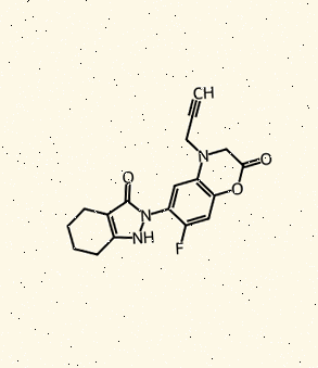 C#CCN1CC(=O)Oc2cc(F)c(-n3[nH]c4c(c3=O)CCCC4)cc21